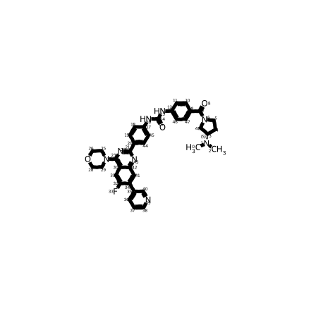 CN(C)[C@H]1CCN(C(=O)c2ccc(NC(=O)Nc3ccc(-c4nc(N5CCOCC5)c5cc(F)c(-c6cccnc6)cc5n4)cc3)cc2)C1